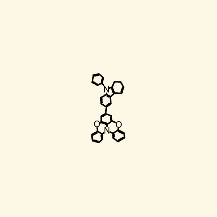 C1=Cc2c(n(-c3ccccc3)c3ccc(-c4cc5c6c(c4)Oc4ccccc4N6c4ccccc4O5)cc23)CC1